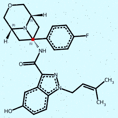 CC(C)=CCn1nc(C(=O)N[C@H]2C[C@H]3COC[C@@H](C2)N3Cc2ccc(F)cc2)c2cc(O)ccc21